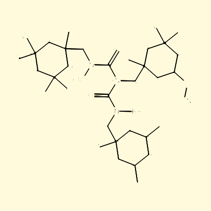 BN(CC1(C)CC(C)CC(C)C1)C(=O)N(CC1(C)CC(OC#N)CC(C)(C)C1)C(=C)N(C=O)CC1(C)CC(C)(C)CC(C)(C)C1